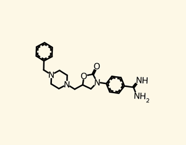 N=C(N)c1ccc(N2CC(CN3CCN(Cc4ccccc4)CC3)OC2=O)cc1